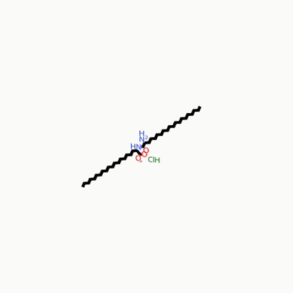 CCCCCCCCCCCCCCCCCCC(N)C(=O)NC(CCCCCCCCCCCCCCCCCC)C(=O)OC.Cl